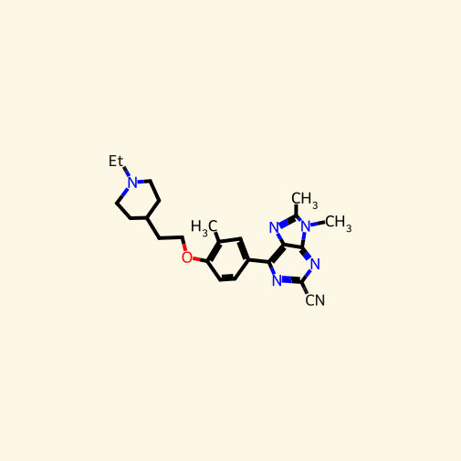 CCN1CCC(CCOc2ccc(-c3nc(C#N)nc4c3nc(C)n4C)cc2C)CC1